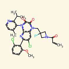 C=CC(=O)N1CC(F)(Cn2c(=O)c(=O)n(-c3c(C)ccnc3C(C)C)c3nc(-c4c(Cl)cccc4OC)c(Cl)cc32)C1